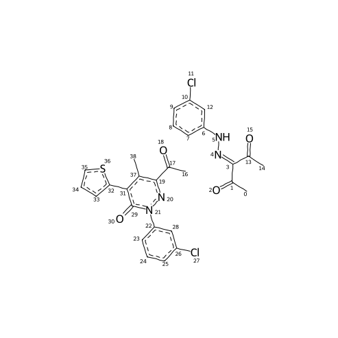 CC(=O)C(=NNc1cccc(Cl)c1)C(C)=O.CC(=O)c1nn(-c2cccc(Cl)c2)c(=O)c(-c2cccs2)c1C